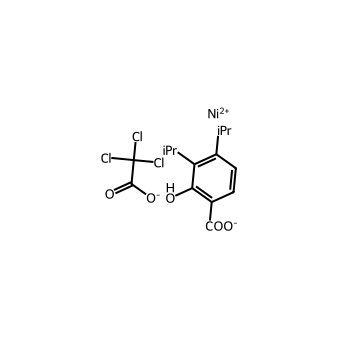 CC(C)c1ccc(C(=O)[O-])c(O)c1C(C)C.O=C([O-])C(Cl)(Cl)Cl.[Ni+2]